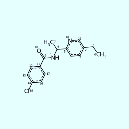 CCc1ccc(C(C)NC(=O)c2ccc(Cl)cc2)nc1